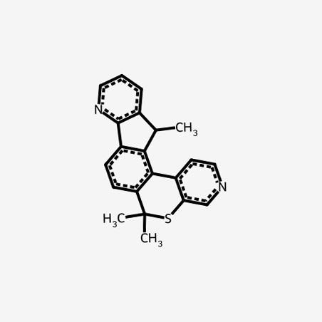 CC1c2cccnc2-c2ccc3c(c21)-c1ccncc1SC3(C)C